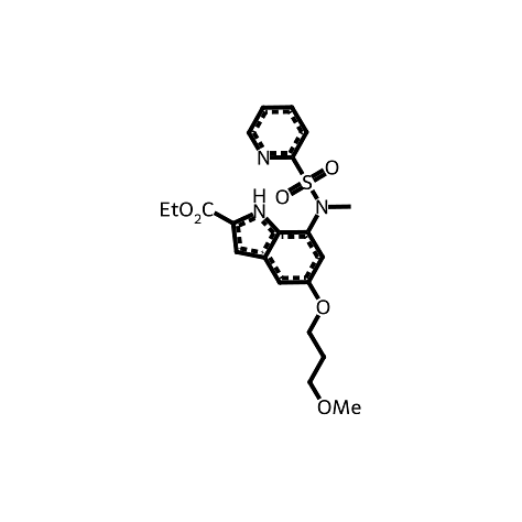 CCOC(=O)c1cc2cc(OCCCOC)cc(N(C)S(=O)(=O)c3ccccn3)c2[nH]1